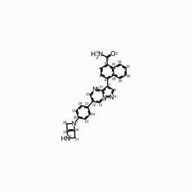 NC(=O)c1ccc(-c2cnn3cc(-c4ccc(N5CC6=C5CN6)cc4)cnc23)c2ccccc12